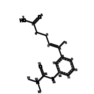 CC(=CCCC(=O)O)c1cccc(SC(=O)N(C)C)c1